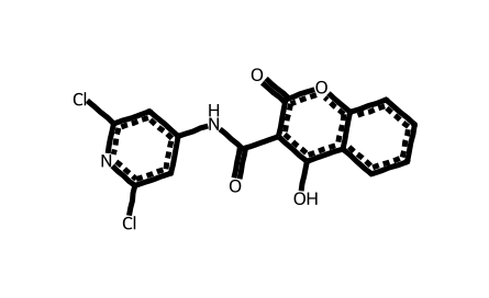 O=C(Nc1cc(Cl)nc(Cl)c1)c1c(O)c2ccccc2oc1=O